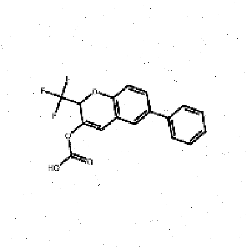 O=C(O)OC1=Cc2cc(-c3ccccc3)ccc2OC1C(F)(F)F